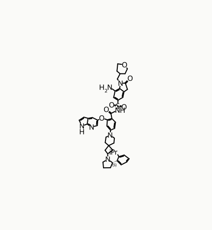 CC(C)c1ccccc1[C@@H]1CCCN1C1CC2(CCN(c3ccc(C(=O)NS(=O)(=O)c4cc(N)c5c(c4)CC(=O)N5CC4CCOCC4)c(Oc4cnc5[nH]ccc5c4)c3)CC2)C1